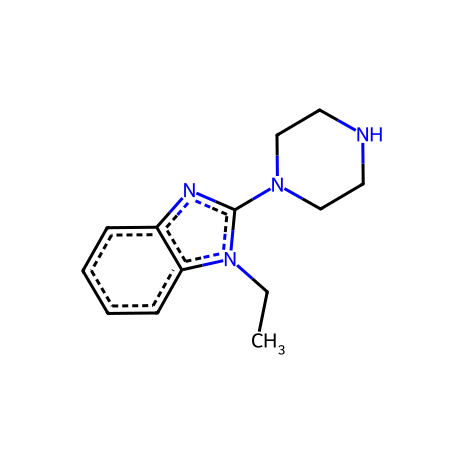 CCn1c(N2CCNCC2)nc2ccccc21